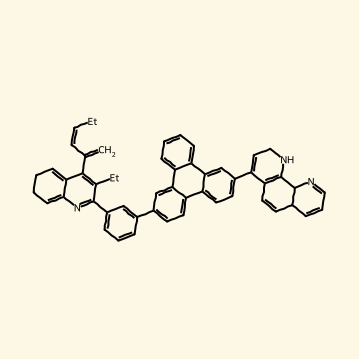 C=C(/C=C\CC)c1c(CC)c(-c2cccc(-c3ccc4c5ccc(C6=CCNC7=C6C=CC6C=CC=NC76)cc5c5ccccc5c4c3)c2)nc2c1=CCCC=2